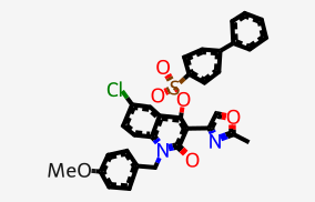 COc1ccc(Cn2c(=O)c(-c3coc(C)n3)c(OS(=O)(=O)c3ccc(-c4ccccc4)cc3)c3cc(Cl)ccc32)cc1